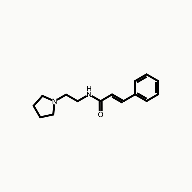 O=C(C=Cc1ccccc1)NCCN1CCCC1